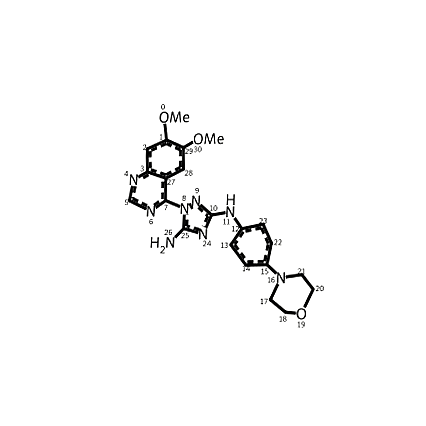 COc1cc2ncnc(-n3nc(Nc4ccc(N5CCOCC5)cc4)nc3N)c2cc1OC